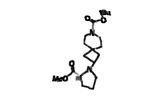 COC(=O)[C@H]1CCCN1C1CC2(CCN(C(=O)OC(C)(C)C)CC2)C1